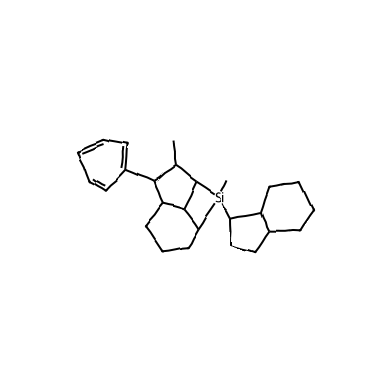 CC1C(c2ccccc2)C2CCCC3C2C1[Si]3(C)C1CCC2CCCCC21